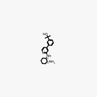 CC(C)(O)c1cccc(-c2ccnc(N[C@@H]3CCCC[C@H]3N)c2)c1